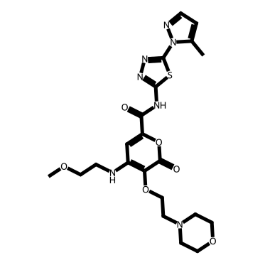 COCCNc1cc(C(=O)Nc2nnc(-n3nccc3C)s2)oc(=O)c1OCCN1CCOCC1